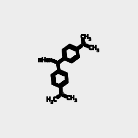 CCCCCCC(c1ccc(N(C)C)cc1)c1ccc(N(C)C)cc1